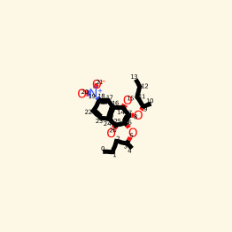 CCCC(C)OC1=C(OC(C)CCC)C(=O)c2cc([N+](=O)[O-])ccc2C1=O